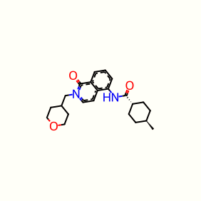 C[C@H]1CC[C@H](C(=O)Nc2cccc3c(=O)n(CC4CCOCC4)ccc23)CC1